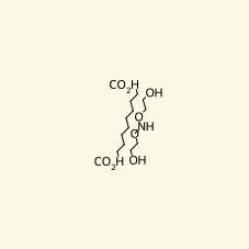 O=C(O)CCCCCCCCC(=O)O.OCCONOCCO